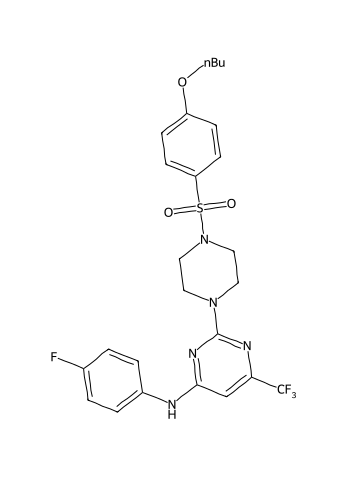 CCCCOc1ccc(S(=O)(=O)N2CCN(c3nc(Nc4ccc(F)cc4)cc(C(F)(F)F)n3)CC2)cc1